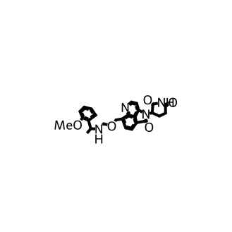 COc1ccccc1C(C)NCOCc1ccc2c3c(ccnc13)N(C1CCC(=O)NC1=O)C2=O